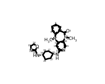 CN1C(=O)c2ccccc2N(C)c2cc(N[C@H]3CC[C@@H](NC4=NCCO4)CC3)ncc21